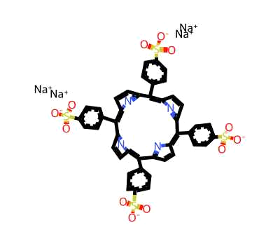 O=S(=O)([O-])c1ccc(C2=C3C=CC(=N3)C(c3ccc(S(=O)(=O)[O-])cc3)=C3C=CC(=N3)C(c3ccc(S(=O)(=O)[O-])cc3)=C3C=CC(=N3)C(c3ccc(S(=O)(=O)[O-])cc3)=C3C=CC2=N3)cc1.[Na+].[Na+].[Na+].[Na+]